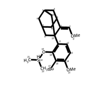 COC=C1C2CC3CC(C2)CC1(c1ccc(OC)c(C(C)(C)C)c1O[SiH](C)C)C3